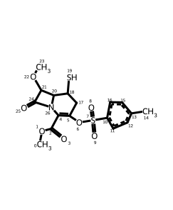 COC(=O)C1=C(OS(=O)(=O)c2ccc(C)cc2)CC(S)C2C(OC)C(=O)N12